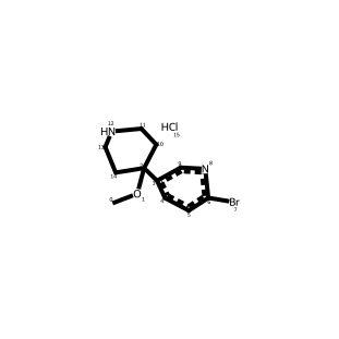 COC1(c2ccc(Br)nc2)CCNCC1.Cl